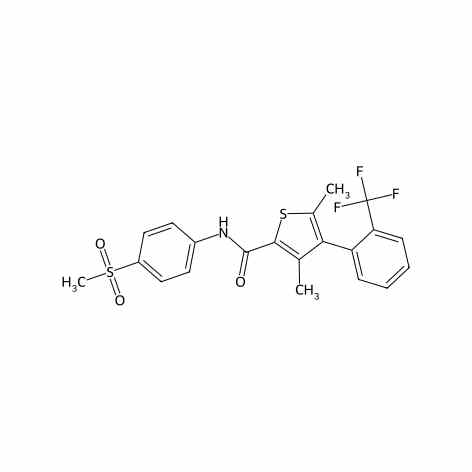 Cc1sc(C(=O)Nc2ccc(S(C)(=O)=O)cc2)c(C)c1-c1ccccc1C(F)(F)F